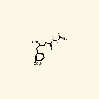 CCC(=O)ONC(=O)CCC(C=O)Cc1cccc(C(=O)O)c1